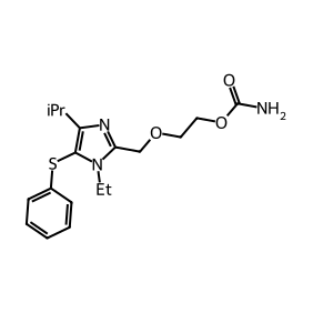 CCn1c(COCCOC(N)=O)nc(C(C)C)c1Sc1ccccc1